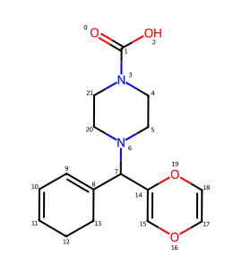 O=C(O)N1CCN(C(C2=CC=CCC2)C2=COC=CO2)CC1